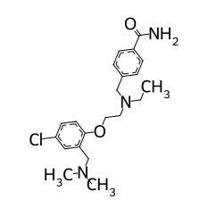 CCN(CCOc1ccc(Cl)cc1CN(C)C)Cc1ccc(C(N)=O)cc1